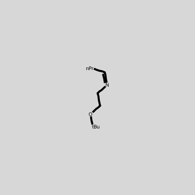 CCC/C=N\CCOC(C)(C)C